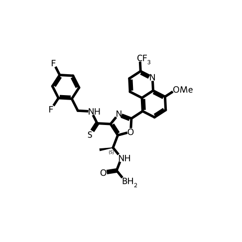 BC(=O)N[C@@H](C)c1oc(-c2ccc(OC)c3nc(C(F)(F)F)ccc23)nc1C(=S)NCc1ccc(F)cc1F